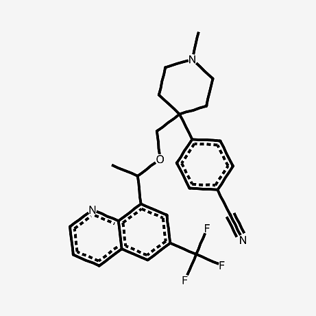 CC(OCC1(c2ccc(C#N)cc2)CCN(C)CC1)c1cc(C(F)(F)F)cc2cccnc12